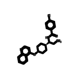 CCC(NC(=O)c1ccc(Cl)cc1)[C@H]1CC[C@H](Oc2ccnc3ccccc23)CC1